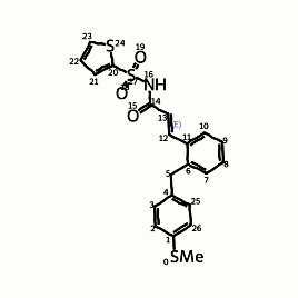 CSc1ccc(Cc2ccccc2/C=C/C(=O)NS(=O)(=O)c2cccs2)cc1